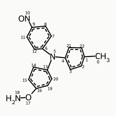 Cc1ccc(N(c2ccc(N=O)cc2)c2ccc(ON)cc2)cc1